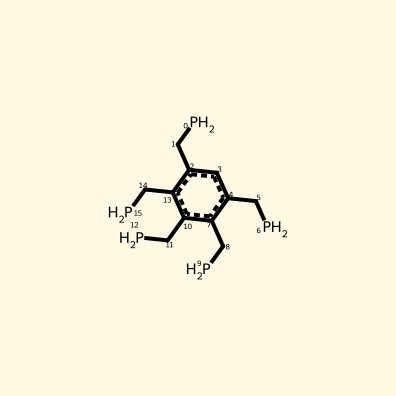 PCc1cc(CP)c(CP)c(CP)c1CP